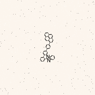 c1cc2ccc3ccc(-c4ccc(-c5ccc6c7ccccc7c7nc8ccccc8n7c6c5)cc4)c4ccc(c1)c2c34